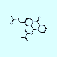 C=C(C)C(=O)OC1c2ccccc2C(=O)c2ccc(COC(C)=O)cc21